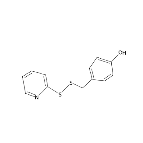 Oc1ccc(CSSc2ccccn2)cc1